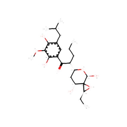 CCCC(C(=O)c1cc(CC(C)C)c(O)c(OC)c1O)[C@H]1C[C@@H](O)C2(O[C@H]2CC)[C@H](O)O1